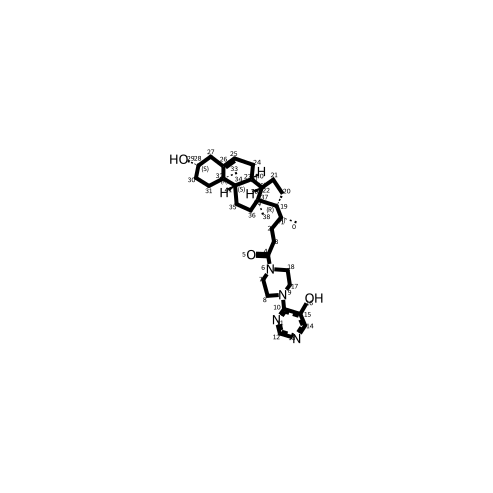 C[C@H](CCC(=O)N1CCN(c2ncncc2O)CC1)[C@H]1CC[C@H]2[C@@H]3CC=C4C[C@@H](O)CC[C@]4(C)[C@H]3CC[C@]12C